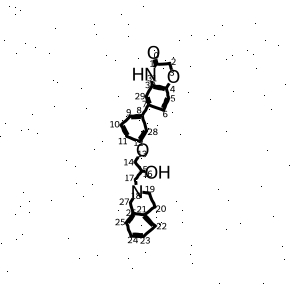 O=C1COc2ccc(-c3cccc(OCC(O)CN4CCc5ccccc5C4)c3)cc2N1